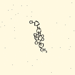 Cc1ccc(C(=O)c2c(C)cn(C)c2C(=O)N2CCN(c3cccc(Cl)c3)CC2)cc1